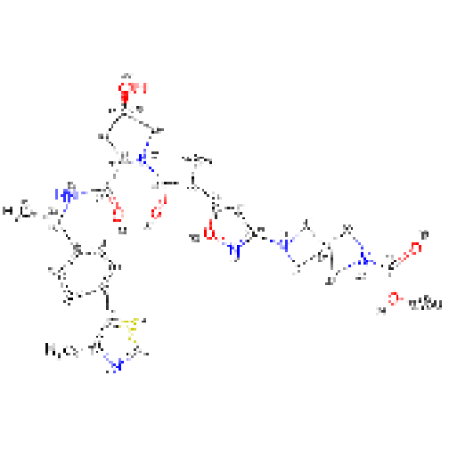 Cc1ncsc1-c1ccc([C@H](C)NC(=O)[C@@H]2C[C@@H](O)CN2C(=O)C(c2cc(N3CC4(CN(C(=O)OC(C)(C)C)C4)C3)no2)C(C)C)cc1